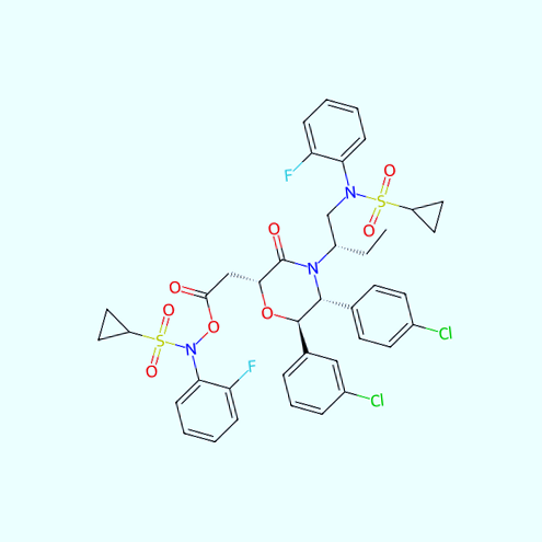 CC[C@@H](CN(c1ccccc1F)S(=O)(=O)C1CC1)N1C(=O)[C@@H](CC(=O)ON(c2ccccc2F)S(=O)(=O)C2CC2)O[C@H](c2cccc(Cl)c2)[C@H]1c1ccc(Cl)cc1